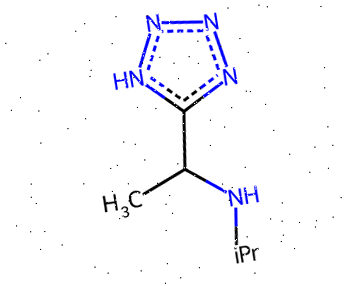 CC(C)NC(C)c1nnn[nH]1